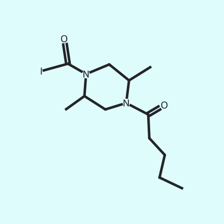 CCCCC(=O)N1CC(C)N(C(=O)I)CC1C